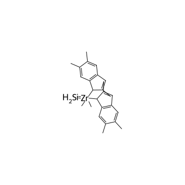 CC1=Cc2cc(C)c(C)cc2[CH]1[Zr]([CH3])([CH3])(=[SiH2])[CH]1C(C)=Cc2cc(C)c(C)cc21